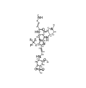 CNC/C=C/C(=O)Nc1cc(N[C@@H]2CCN(C)C[C@@H]2F)c2nc(C#CCNc3ccc(S(C)(=O)=O)cc3OC)c(CC(F)(F)F)n2c1